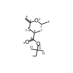 C=C(OCC)SC(C)C(=O)OC(C)(C)C